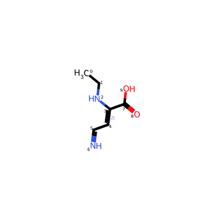 CCN/C(=C\C=N)C(=O)O